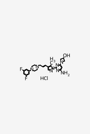 Cc1c(/C=C/CN2CCN(c3cc(F)cc(F)c3)CC2)cnn1-c1nc(N)cc(N2CC(O)C2)n1.Cl